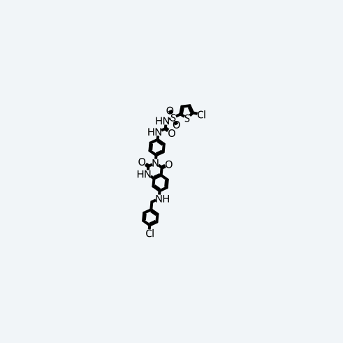 O=C(Nc1ccc(-n2c(=O)[nH]c3cc(NCc4ccc(Cl)cc4)ccc3c2=O)cc1)NS(=O)(=O)c1ccc(Cl)s1